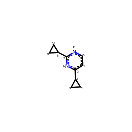 [c]1cc(C2CC2)nc(C2CC2)n1